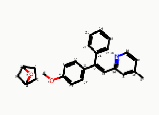 C1CC2CC1O2.COc1ccc(C(=Cc2cc(C)ccn2)c2ccccc2)cc1